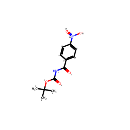 CC(C)(C)OC(=O)NC(=O)c1ccc([N+](=O)[O-])cc1